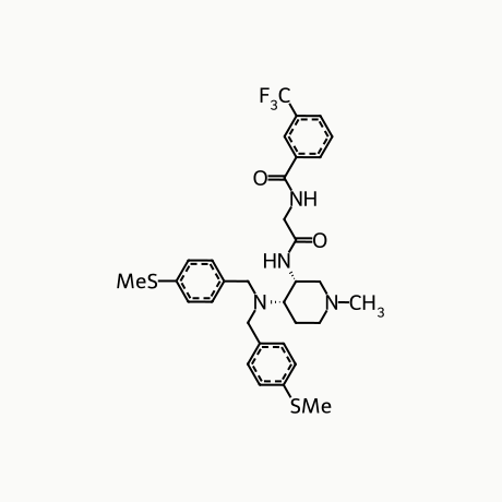 CSc1ccc(CN(Cc2ccc(SC)cc2)[C@H]2CCN(C)C[C@H]2NC(=O)CNC(=O)c2cccc(C(F)(F)F)c2)cc1